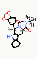 [2H]C([2H])([2H])N1CC(=O)N2[C@]([2H])(c3ccc4c(c3)OCO4)c3[nH]c4ccccc4c3C[C@]2([2H])C1=O